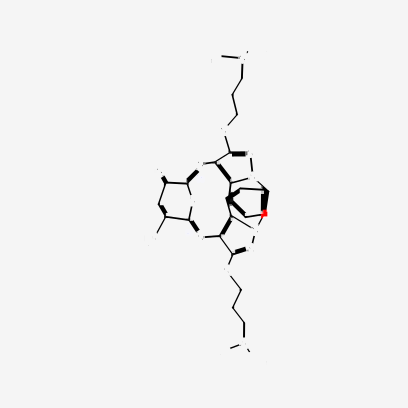 CN(C)CCCNc1nn2ccccc2c1/N=C1\N/C(=N\c2c(NCCCN(C)C)nn3ccccc23)C(N)=CC1=N